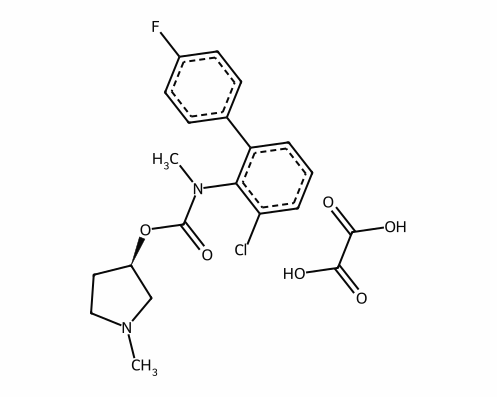 CN1CC[C@@H](OC(=O)N(C)c2c(Cl)cccc2-c2ccc(F)cc2)C1.O=C(O)C(=O)O